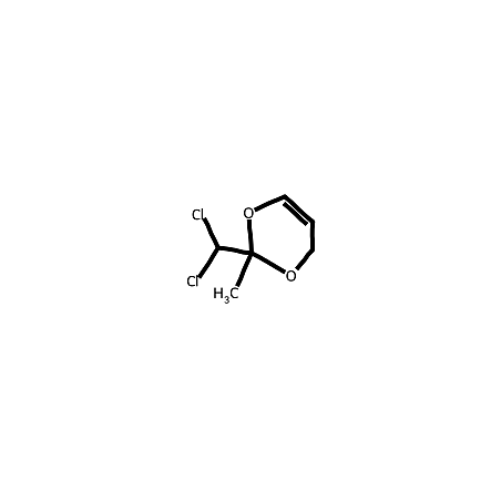 CC1(C(Cl)Cl)OC=CCO1